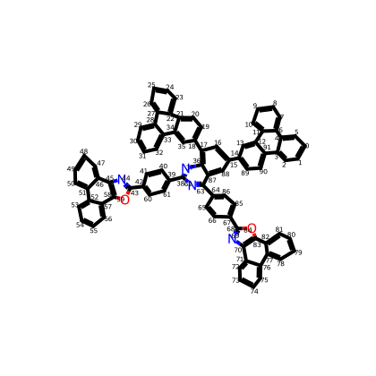 c1ccc2c(c1)c1ccccc1c1cc(-c3cc(-c4ccc5c6ccccc6c6ccccc6c5c4)c4nc(-c5ccc(-c6nc7c8ccccc8c8ccccc8c7o6)cc5)nc(-c5ccc(-c6nc7c8ccccc8c8ccccc8c7o6)cc5)c4c3)ccc21